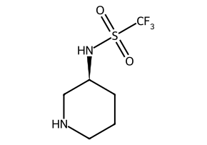 O=S(=O)(N[C@H]1CCCNC1)C(F)(F)F